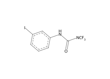 O=C(Nc1cccc(I)c1)NC(F)(F)F